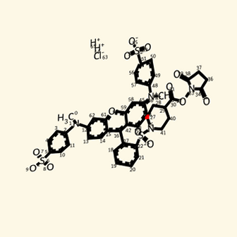 CN(c1ccc(S(=O)(=O)[O-])cc1)c1ccc2c(-c3ccccc3S(=O)(=O)N3CCC(C(=O)ON4C(=O)CCC4=O)CC3)c3ccc(=[N+](C)c4ccc(S(=O)(=O)[O-])cc4)cc-3oc2c1.[Cl-].[H+].[H+]